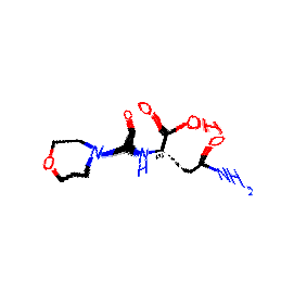 NC(=O)C[C@H](NC(=O)N1CCOCC1)C(=O)O